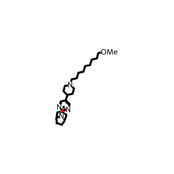 COCCCCCCCCCN1CCC(c2cnc(N3C4CCC3CN(C)C4)nc2)CC1